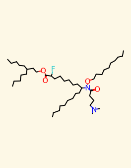 CCCCCCCCCCON(C(=O)CCCN(C)C)C(CCCCCCCCC)CCCCCCC(F)C(=O)OCCC(CCCCC)CCCCC